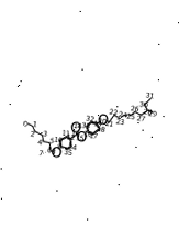 CCCCCC[C@@H](C)Oc1ccc(C(=O)Oc2ccc(OCCCCCCCC(C)CC)cc2)cc1